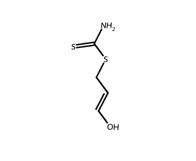 NC(=S)SCC=CO